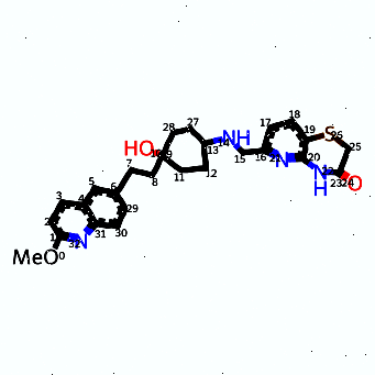 COc1ccc2cc(CCC3(O)CCC(NCc4ccc5c(n4)NC(=O)CS5)CC3)ccc2n1